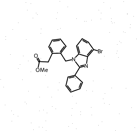 COC(=O)Cc1ccccc1Cn1c(-c2ccccc2)nc2c(Br)cccc21